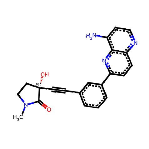 CN1CC[C@@](O)(C#Cc2cccc(-c3ccc4nccc(N)c4n3)c2)C1=O